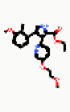 CCOC(=O)c1[nH]cc(-c2cccc(OC)c2C)c1-c1ccc(OCCOC)cn1